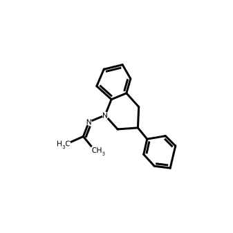 CC(C)=NN1CC(c2ccccc2)Cc2ccccc21